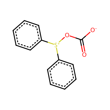 O=C([O-])O[S+](c1ccccc1)c1ccccc1